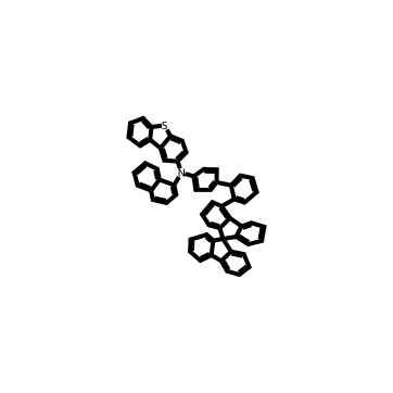 c1ccc(-c2cccc3c2-c2ccccc2C32c3ccccc3-c3ccccc32)c(-c2ccc(N(c3ccc4sc5ccccc5c4c3)c3cccc4ccccc34)cc2)c1